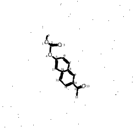 COC(=O)Oc1ccc2cc(C(C)=O)ccc2c1